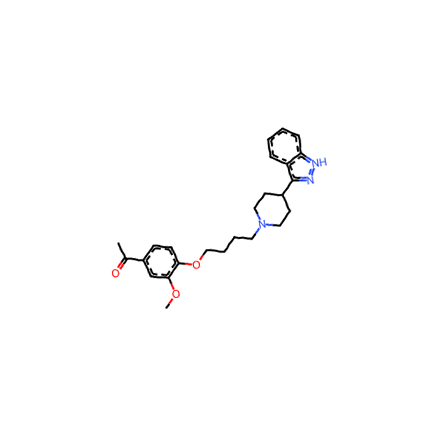 COc1cc(C(C)=O)ccc1OCCCCN1CCC(c2n[nH]c3ccccc23)CC1